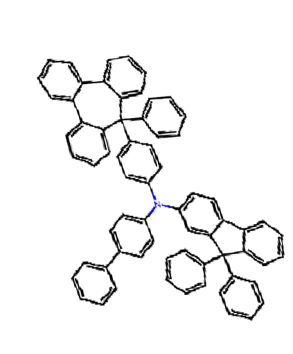 c1ccc(-c2ccc(N(c3ccc(C4(c5ccccc5)c5ccccc5-c5ccccc5-c5ccccc54)cc3)c3ccc4c(c3)C(c3ccccc3)(c3ccccc3)c3ccccc3-4)cc2)cc1